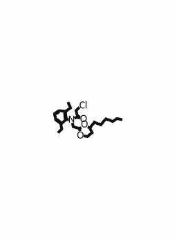 CCCCCCC1CCOC(CN(C(=O)CCl)c2c(CC)cccc2CC)O1